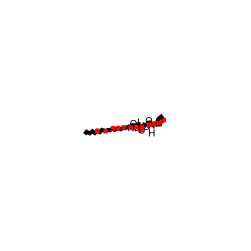 CCCCCCCCCCCCCCCCCCNC(=O)OC(I)C(COC(=O)NCC[N+]1(C)CCCCC1)OC